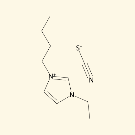 CCCC[n+]1ccn(CC)c1.N#C[S-]